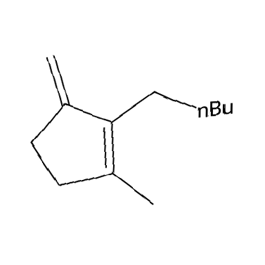 C=C1CCC(C)=C1CCCCC